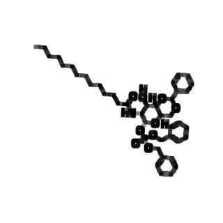 CCCCCCCCCCCCCC(=O)N[C@H]1[C@@H](OP(=O)(OCc2ccccc2)OCc2ccccc2)O[C@@H]2COC(c3ccccc3)O[C@H]2[C@@H]1O